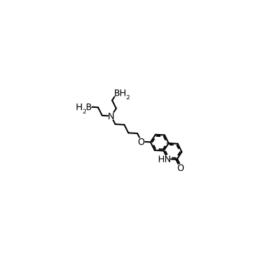 BCCN(CCB)CCCCOc1ccc2ccc(=O)[nH]c2c1